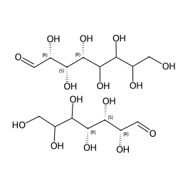 O=C[C@H](O)[C@@H](O)[C@H](O)C(O)C(O)C(O)CO.O=C[C@H](O)[C@@H](O)[C@H](O)C(O)C(O)CO